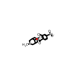 CN1CC2CN(C)CC(C1)C2OC(=O)c1ccc([N+](=O)[O-])cc1Cl